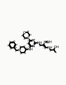 CC(O)CN/C=C(/CNc1nc(NC2CCN(Cc3ccccc3)CC2)cc(N2CCOCC2)n1)N=N